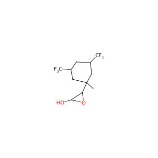 CC1(C2OC2O)CC(C(F)(F)F)CC(C(F)(F)F)C1